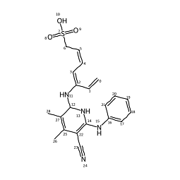 C=C/C(=C\C=C/CS(=O)(=O)O)NC1NC(Nc2ccccc2)=C(C#N)C(C)=C1C